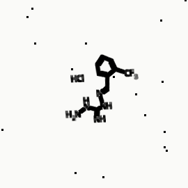 Cl.N=C(NN)N/N=C/c1ccccc1C(F)(F)F